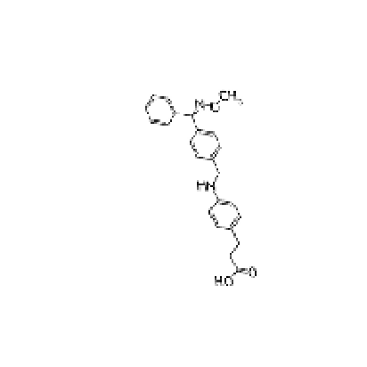 CON=C(c1ccccc1)c1ccc(CNc2ccc(CCC(=O)O)cc2)cc1